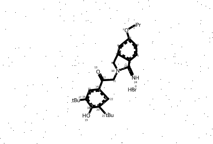 Br.CC(C)Oc1ccc2c(c1)CN(CC(=O)c1cc(C(C)(C)C)c(O)c(C(C)(C)C)c1)C2=N